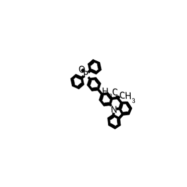 CC1(C)c2cc(-c3ccc(P(=O)(c4ccccc4)c4ccccc4)cc3)ccc2-n2c3ccccc3c3cccc1c32